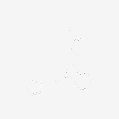 COC(=O)/C=C/c1cn(CCC2C=CCC2)c2ccccc12